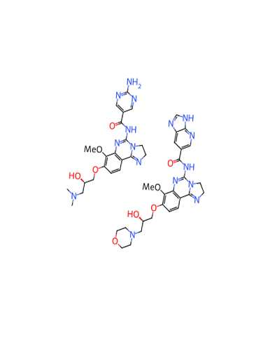 COc1c(OC[C@H](O)CN(C)C)ccc2c1N=C(NC(=O)c1cnc(N)nc1)N1CCN=C21.COc1c(OC[C@H](O)CN2CCOCC2)ccc2c1N=C(NC(=O)c1cnc3[nH]cnc3c1)N1CCN=C21